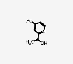 CC(=O)c1ccnc(C(C)O)c1